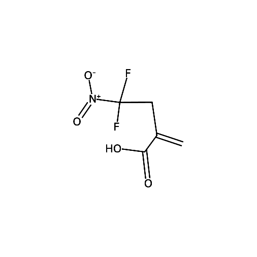 C=C(CC(F)(F)[N+](=O)[O-])C(=O)O